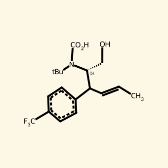 CC=CC(c1ccc(C(F)(F)F)cc1)[C@@H](CO)N(C(=O)O)C(C)(C)C